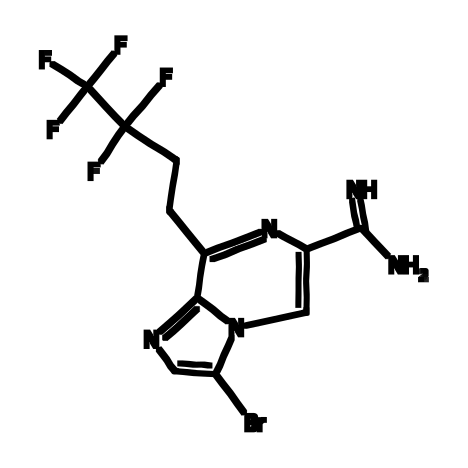 N=C(N)c1cn2c(Br)cnc2c(CCC(F)(F)C(F)(F)F)n1